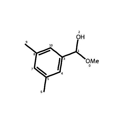 COC(O)c1cc(C)cc(C)c1